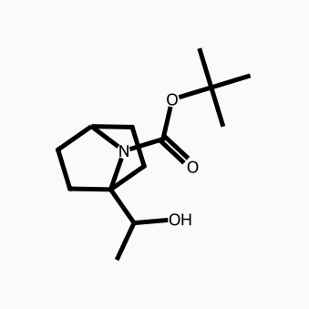 CC(O)C12CCC(CC1)N2C(=O)OC(C)(C)C